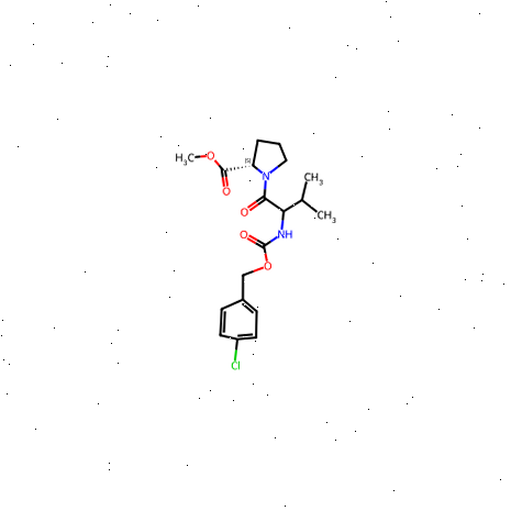 COC(=O)[C@@H]1CCCN1C(=O)C(NC(=O)OCc1ccc(Cl)cc1)C(C)C